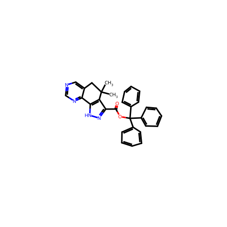 CC1(C)Cc2cncnc2-c2[nH]nc(C(=O)OC(c3ccccc3)(c3ccccc3)c3ccccc3)c21